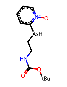 CC(C)(C)OC(=O)NCC[AsH]c1cccc[n+]1[O-]